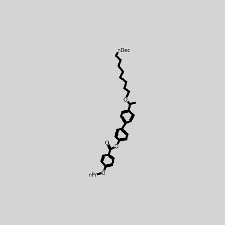 CCCCCCCCCCCCCCCCCCOC(C)c1ccc(-c2ccc(OC(=O)c3ccc(OCCC)cc3)cc2)cc1